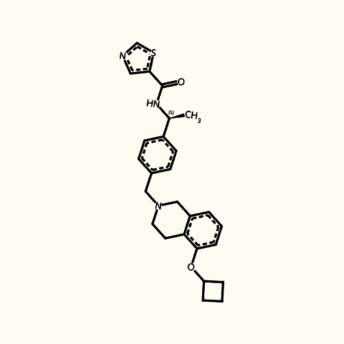 C[C@H](NC(=O)c1cncs1)c1ccc(CN2CCc3c(cccc3OC3CCC3)C2)cc1